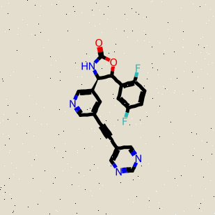 O=C1N[C@H](c2cncc(C#Cc3cncnc3)c2)C(c2cc(F)ccc2F)O1